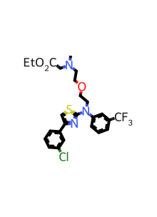 CCOC(=O)CN(C)CCOCCN(c1cccc(C(F)(F)F)c1)c1nc(-c2cccc(Cl)c2)cs1